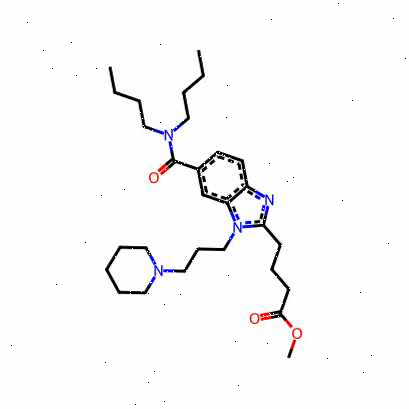 CCCCN(CCCC)C(=O)c1ccc2nc(CCCC(=O)OC)n(CCCN3CCCCC3)c2c1